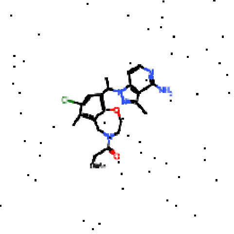 COCC(=O)N1CCOc2c(C(C)n3nc(C)c4c(N)nccc43)cc(Cl)c(C)c2C1